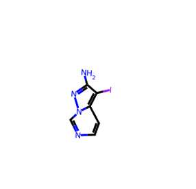 Nc1nn2cnccc2c1I